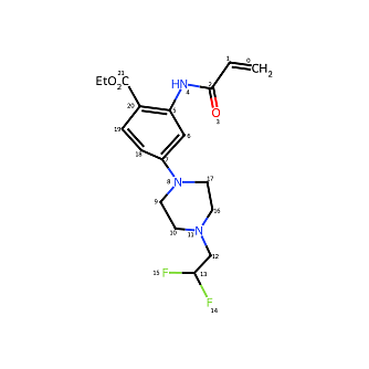 C=CC(=O)Nc1cc(N2CCN(CC(F)F)CC2)ccc1C(=O)OCC